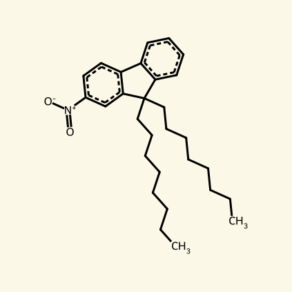 CCCCCCCCC1(CCCCCCCC)c2ccccc2-c2ccc([N+](=O)[O-])cc21